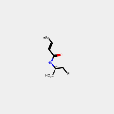 CCCCC=CC(=O)N[C@@H](CC(C)C)C(=O)O